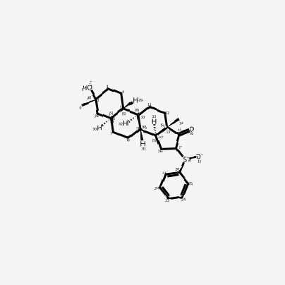 C[C@@]1(O)CC[C@H]2[C@@H](CC[C@@H]3[C@@H]2CC[C@]2(C)C(=O)C([S+]([O-])c4ccccc4)C[C@@H]32)C1